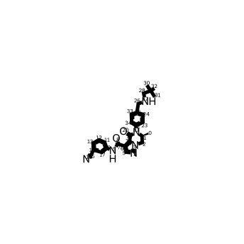 C[C@H]1Cn2ncc(C(=O)Nc3cccc(C#N)c3)c2C(=O)N1c1ccc(CNCC(C)(C)C)cc1